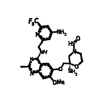 COc1cc2nc(C)nc(NCc3cc(N)cc(C(F)(F)F)n3)c2cc1OC[C@@]1([SiH3])CN([SH]=O)CCO1